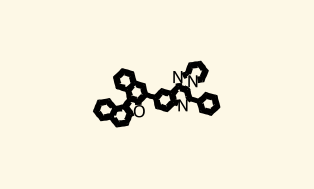 c1ccc(-c2nc3ccc(-c4cc5ccccc5c5c4oc4ccc6ccccc6c45)cc3c3nc4ccccn4c23)cc1